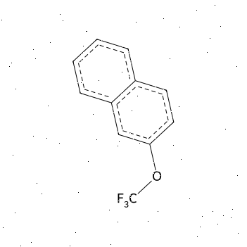 FC(F)(F)Oc1ccc2ccccc2c1